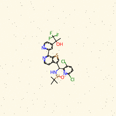 CC(C)(C)[S+]([O-])NC(c1nc(Cl)ccc1Cl)c1csc2c(-c3cc(C(C)(O)C(F)(F)F)ccn3)nccc12